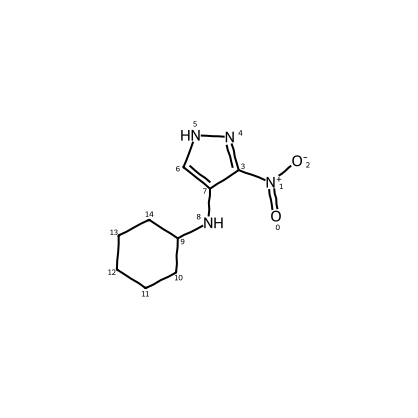 O=[N+]([O-])c1n[nH]cc1NC1CCCCC1